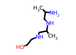 CC(N)CNC(C)CNCCO